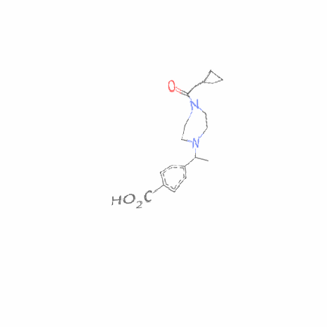 CC(c1ccc(C(=O)O)cc1)N1CCN(C(=O)C2CC2)CC1